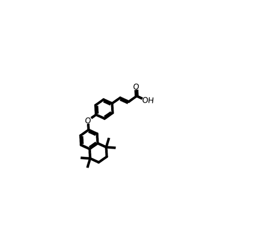 CC1(C)CCC(C)(C)c2cc(Oc3ccc(C=CC(=O)O)cc3)ccc21